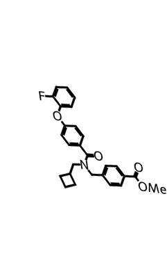 COC(=O)c1ccc(CN(CC2CCC2)C(=O)c2ccc(Oc3ccccc3F)cc2)cc1